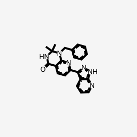 CC1(C)NC(=O)c2ccc(-c3n[nH]c4ncccc34)nc2N1Cc1ccccc1